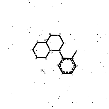 Cl.Ic1ccccc1C1CCCC2CCCCN21